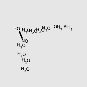 O.O.O.O.O.O.O.O.O.O=NO.[AlH3]